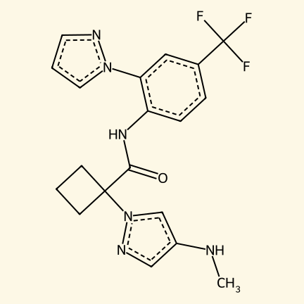 CNc1cnn(C2(C(=O)Nc3ccc(C(F)(F)F)cc3-n3cccn3)CCC2)c1